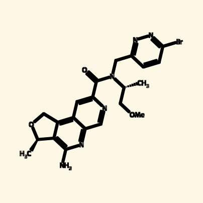 COC[C@@H](C)N(Cc1ccc(Br)nn1)C(=O)c1cc2c3c(c(N)nc2cn1)[C@@H](C)OC3